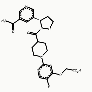 NC(=O)c1cncc([C@@H]2CCON2C(=O)C2CCN(c3ncc(F)c(OCC(=O)O)n3)CC2)c1